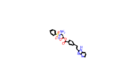 N[C@H](CC(=O)OC(=O)c1ccc(C=Cc2nc3ncccc3[nH]2)cc1)NS(=O)(=O)c1ccccc1